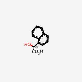 O=C(O)[C@H](O)c1cccc2ccccc12